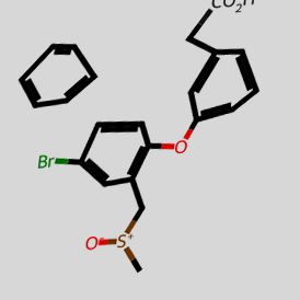 C[S+]([O-])Cc1cc(Br)ccc1Oc1cccc(CC(=O)O)c1.c1ccccc1